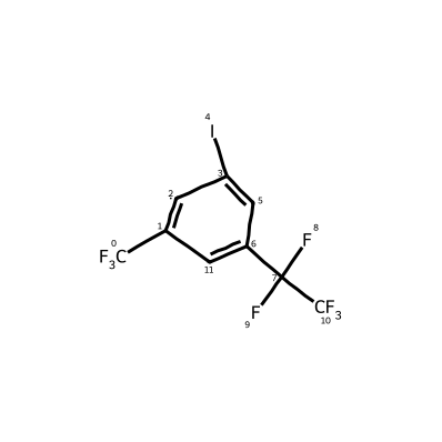 FC(F)(F)c1[c]c(I)cc(C(F)(F)C(F)(F)F)c1